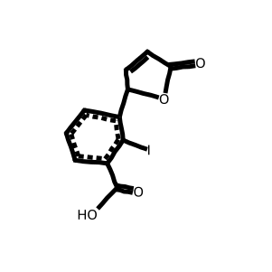 O=C1C=CC(c2cccc(C(=O)O)c2I)O1